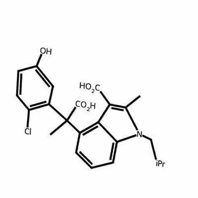 Cc1c(C(=O)O)c2c(C(C)(C(=O)O)c3cc(O)ccc3Cl)cccc2n1CC(C)C